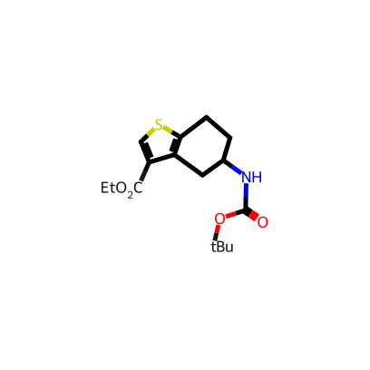 CCOC(=O)c1csc2c1CC(NC(=O)OC(C)(C)C)CC2